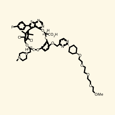 COCCOCCOCCOCCO[C@H]1CC[C@H](c2nccc(COc3ccc4cc3C[C@H](C(=O)O)Oc3ncnc5sc(-c6ccc(F)cc6)c(c35)-c3c(C)c(Cl)c(c(Cl)c3C)O[C@H](CN3CCN(C)CC3)CO4)n2)CC1